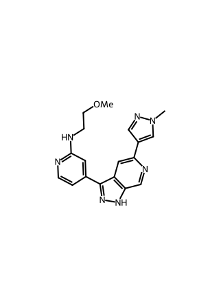 COCCNc1cc(-c2n[nH]c3cnc(-c4cnn(C)c4)cc23)ccn1